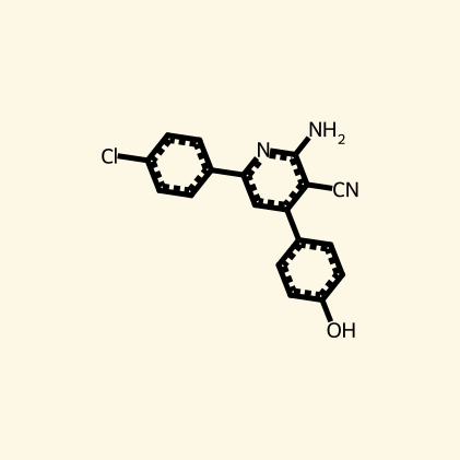 N#Cc1c(-c2ccc(O)cc2)cc(-c2ccc(Cl)cc2)nc1N